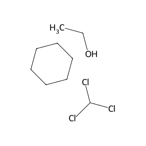 C1CCCCC1.CCO.ClC(Cl)Cl